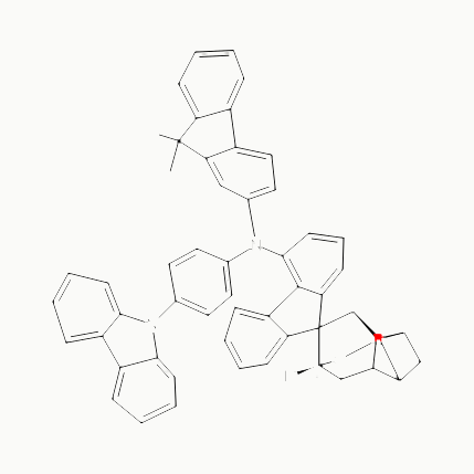 CC1(C)c2ccccc2-c2ccc(N(c3ccc(-n4c5ccccc5c5ccccc54)cc3)c3cccc4c3-c3ccccc3C43C4CC5CC6CC[C@@H]3CC5C64)cc21